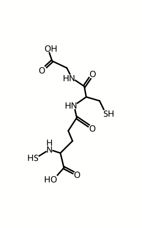 O=C(O)CNC(=O)C(CS)NC(=O)CCC(NS)C(=O)O